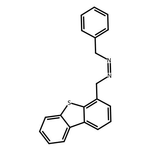 c1ccc(C/N=N\Cc2cccc3c2sc2ccccc23)cc1